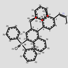 C/C=C\c1ccc(-c2c(Cc3ccccc3)cc(P(=O)(c3ccccc3)c3ccccc3)c3ccccc23)c(NC)c1C